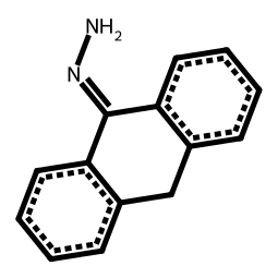 NN=C1c2ccccc2Cc2ccccc21